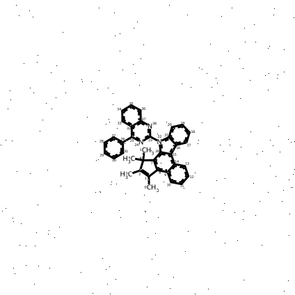 CC1=C(C)C(C)(C)c2c1c1ccccc1c1c3ccccc3n(-c3nc(-c4ccccc4)c4ccccc4n3)c21